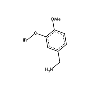 COc1ccc(CN)cc1OC(C)C